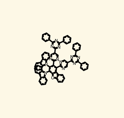 c1ccc(-c2nc(-c3ccccc3)nc(-c3cnc(-c4c(-n5c6ccccc6c6ccccc65)c(-n5c6ccccc6c6ccccc65)c5oc6ccccc6c5c4-c4ncc(-c5nc(-c6ccccc6)nc(-c6ccccc6)n5)cn4)nc3)n2)cc1